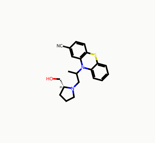 CC(CN1CCC[C@@H]1CO)N1c2ccccc2Sc2ccc(C#N)cc21